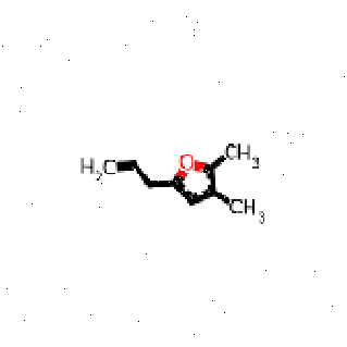 C=CCc1cc(C)c(C)o1